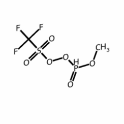 CO[PH](=O)OOS(=O)(=O)C(F)(F)F